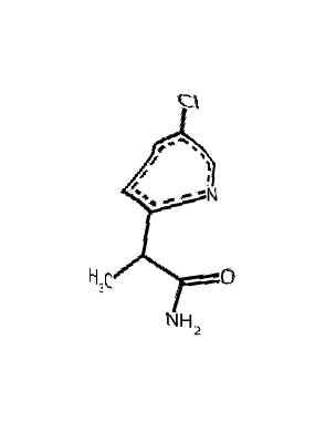 CC(C(N)=O)c1ccc(Cl)cn1